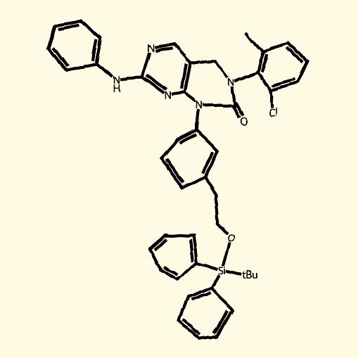 Cc1cccc(Cl)c1N1Cc2cnc(Nc3ccccc3)nc2N(c2cccc(CCO[Si](c3ccccc3)(c3ccccc3)C(C)(C)C)c2)C1=O